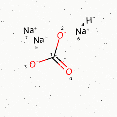 O=C([O-])[O-].[H-].[Na+].[Na+].[Na+]